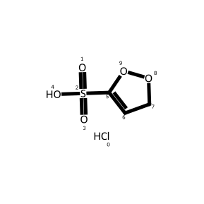 Cl.O=S(=O)(O)C1=CCOO1